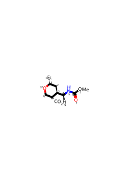 CC[C@@H]1C[C@@H]([C@@H](NC(=O)OC)C(=O)O)CCO1